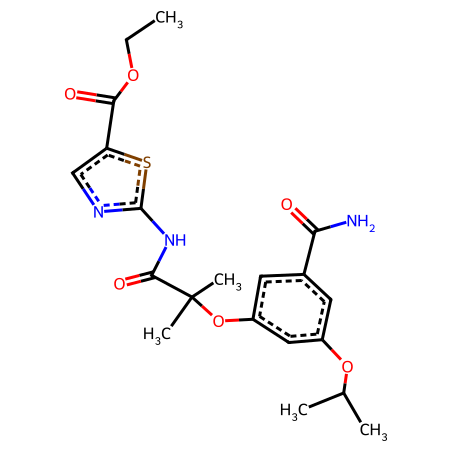 CCOC(=O)c1cnc(NC(=O)C(C)(C)Oc2cc(OC(C)C)cc(C(N)=O)c2)s1